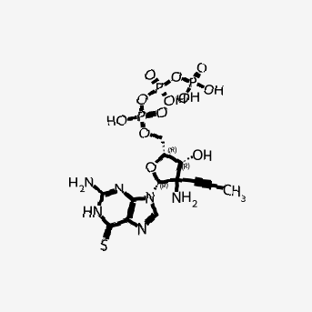 CC#CC1(N)[C@@H](O)[C@@H](COP(=O)(O)OP(=O)(O)OP(=O)(O)O)O[C@H]1n1cnc2c(=S)[nH]c(N)nc21